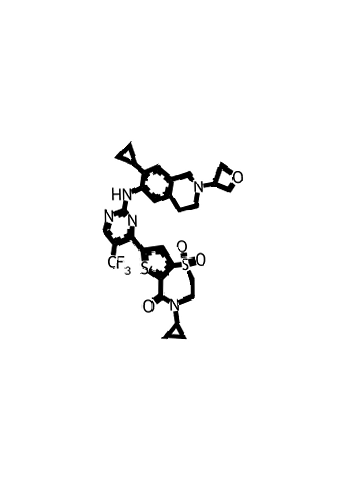 O=C1c2sc(-c3nc(Nc4cc5c(cc4C4CC4)CN(C4COC4)CC5)ncc3C(F)(F)F)cc2S(=O)(=O)CCN1C1CC1